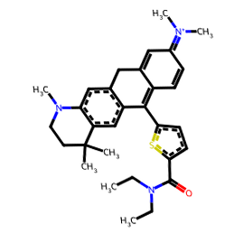 CCN(CC)C(=O)c1ccc(C2=C3C=CC(=[N+](C)C)C=C3Cc3cc4c(cc32)C(C)(C)CCN4C)s1